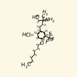 CCCCCCCOc1ccc(CC[C@@](C)(N)CO)cc1C(F)(F)F.Cl